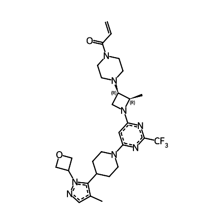 C=CC(=O)N1CCN([C@@H]2CN(c3cc(N4CCC(c5c(C)cnn5C5COC5)CC4)nc(C(F)(F)F)n3)[C@@H]2C)CC1